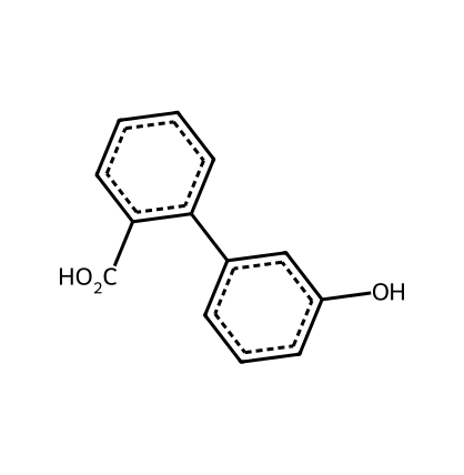 O=C(O)c1ccccc1-c1cccc(O)c1